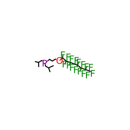 CC(C)CP(CCCOC(F)C(F)(F)C(F)(F)C(F)(F)C(F)(F)C(F)(F)C(F)(F)C(F)(F)F)CC(C)C